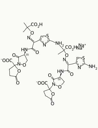 CC(C)(ON=C(C(=O)N[C@H]1CON(C2(C(=O)[O-])CCC(=O)O2)C1=O)c1csc(N)n1)C(=O)O.CC(C)(ON=C(C(=O)N[C@H]1CON(C2(C(=O)[O-])CCC(=O)O2)C1=O)c1csc(N)n1)C(=O)O.[Na+].[Na+]